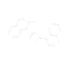 Ic1ccc2ccccc2c1-c1nnc(-c2c(I)ccc3ccccc23)o1